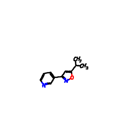 CC(C)c1cc(-c2cccnc2)no1